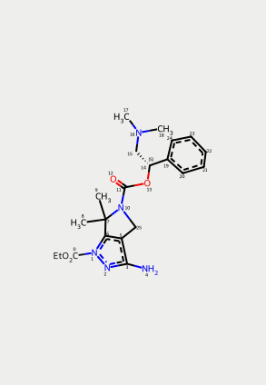 CCOC(=O)n1nc(N)c2c1C(C)(C)N(C(=O)O[C@H](CN(C)C)c1ccccc1)C2